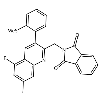 CSc1ccccc1-c1cc2c(F)cc(C)cc2nc1CN1C(=O)c2ccccc2C1=O